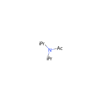 CC(=O)N(C(C)C)C(C)C